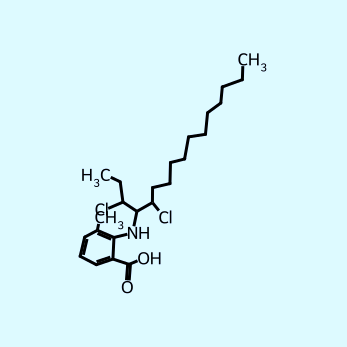 CCCCCCCCCCCC(Cl)C(Nc1c(C)cccc1C(=O)O)C(Cl)CC